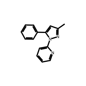 Cc1cc(-c2ccccc2)n(-c2ccccn2)n1